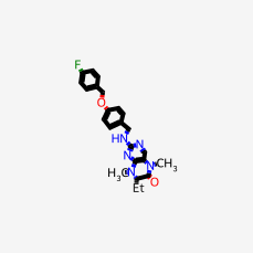 CCC1C(=O)N(C)c2cnc(NCc3ccc(OCc4ccc(F)cc4)cc3)nc2N1C